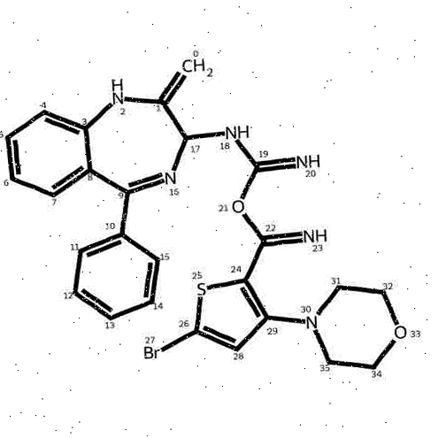 C=C1Nc2ccccc2C(c2ccccc2)=NC1NC(=N)OC(=N)c1sc(Br)cc1N1CCOCC1